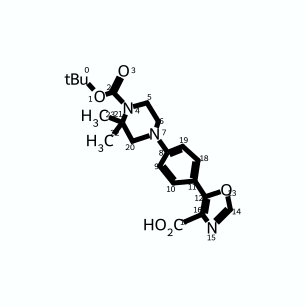 CC(C)(C)OC(=O)N1CCN(c2ccc(-c3ocnc3C(=O)O)cc2)CC1(C)C